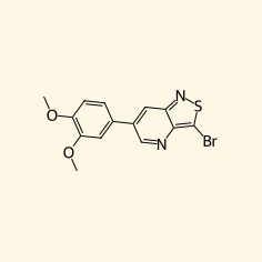 COc1ccc(-c2cnc3c(Br)snc3c2)cc1OC